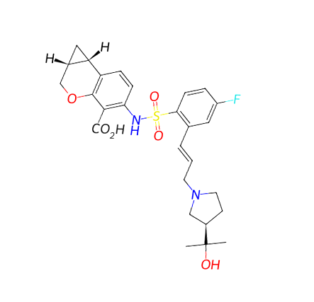 CC(C)(O)[C@@H]1CCN(CC=Cc2cc(F)ccc2S(=O)(=O)Nc2ccc3c(c2C(=O)O)OC[C@@H]2C[C@H]32)C1